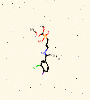 CCOC(OCC)P(=O)(O)CCCNC(C)c1ccc(I)c(Cl)c1